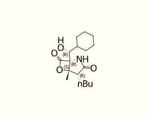 CCCC[C@H]1C(=O)N[C@@]2([C@H](O)C3CCCCC3)C(=O)O[C@@]12C